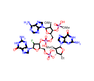 CC[C@H]1O[C@@H](n2cnc3c(=O)[nH]c(N)nc32)C(OC)[C@H]1OP(=O)(O)OC[C@H]1O[C@@H](n2cnc3c(=O)[nH]c(N)nc32)C(F)[C@H]1OP(=O)(O)OC[C@H]1O[C@@H](n2cnc3c(N)ncnc32)C(OC)[C@H]1OP(=O)(O)OC